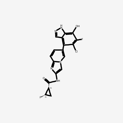 O=C(Nc1cn2cc(-c3c(Cl)c(F)c(O)c4[nH]ncc34)ccc2n1)[C@@H]1C[C@@H]1F